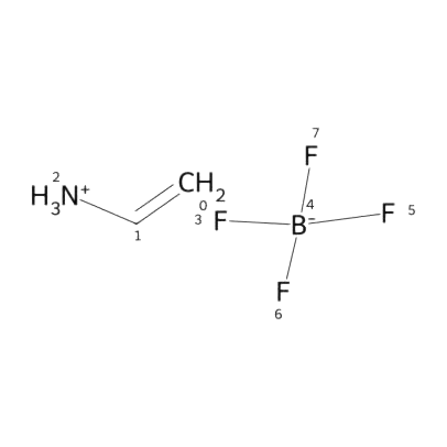 C=C[NH3+].F[B-](F)(F)F